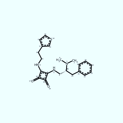 CN(C)[C@@H](CNc1c(NCCc2ccsc2)c(=O)c1=O)Cc1ccccc1